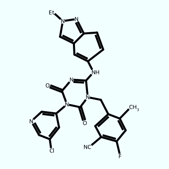 CCn1cc2cc(Nc3nc(=O)n(-c4cncc(Cl)c4)c(=O)n3Cc3cc(C#N)c(F)cc3C)ccc2n1